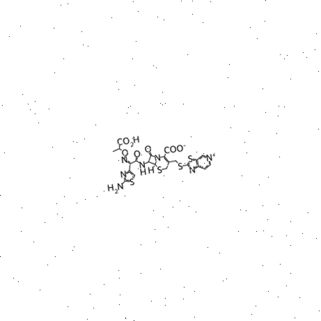 C[C@H](O/N=C(\C(=O)NC1C(=O)N2C(C(=O)[O-])=C(CSc3nc4cc[n+](C)cc4s3)CS[C@@H]12)c1csc(N)n1)C(=O)O